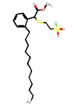 CCCCCCCCCCCCc1ccccc1C(SCCS(=O)(=O)Cl)C(=O)OC